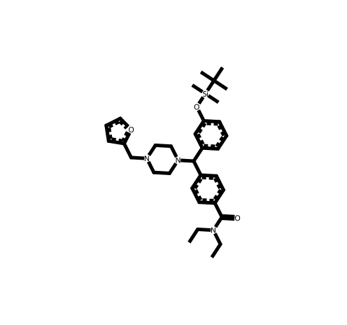 CCN(CC)C(=O)c1ccc(C(c2cccc(O[Si](C)(C)C(C)(C)C)c2)N2CCN(Cc3ccco3)CC2)cc1